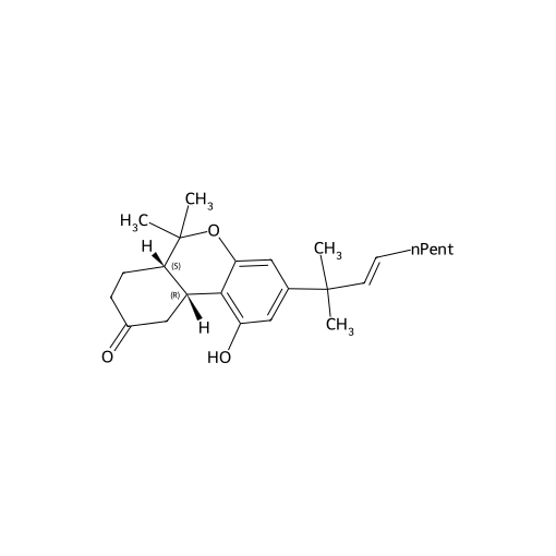 CCCCCC=CC(C)(C)c1cc(O)c2c(c1)OC(C)(C)[C@H]1CCC(=O)C[C@@H]21